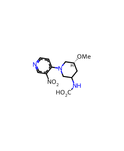 CO[C@@H]1CC(NC(=O)O)CN(c2ccncc2[N+](=O)[O-])C1